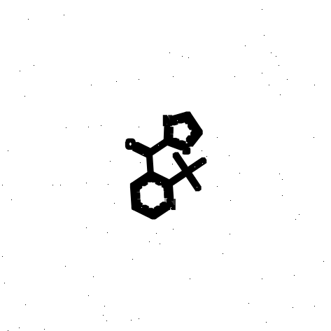 CC(C)(C)c1ncccc1C(=O)c1nccs1